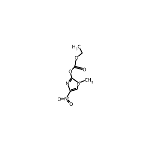 CCOC(=O)Oc1nc([N+](=O)[O-])cn1C